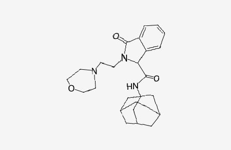 O=C(NC12CC3CC(CC(C3)C1)C2)C1c2ccccc2C(=O)N1CCN1CCOCC1